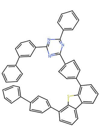 c1ccc(-c2ccc(-c3cccc4c3sc3c(-c5ccc(-c6nc(-c7ccccc7)nc(-c7cccc(-c8ccccc8)c7)n6)cc5)cccc34)cc2)cc1